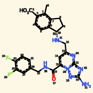 Cc1c(C(=O)O)ccc2c1CC[C@@H]2NCc1cc(C(=O)NCc2ccc(F)c(F)c2)n2nc(N)nc2n1